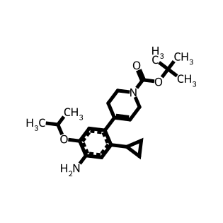 CC(C)Oc1cc(C2=CCN(C(=O)OC(C)(C)C)CC2)c(C2CC2)cc1N